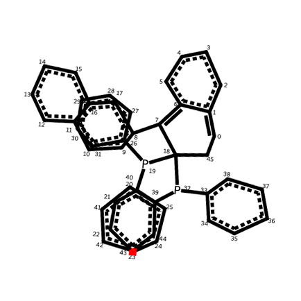 C1=c2ccccc2=C(c2ccc3ccccc3c2)C(P(c2ccccc2)c2ccccc2)(P(c2ccccc2)c2ccccc2)C1